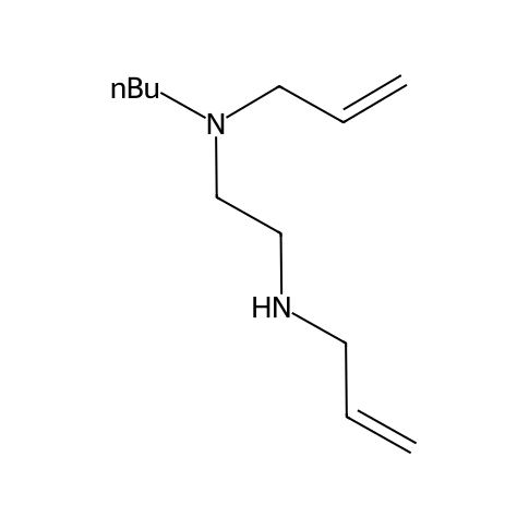 C=CCNCCN(CC=C)CCCC